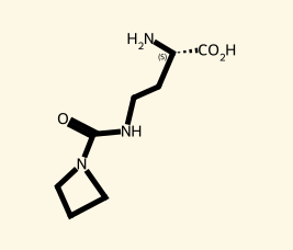 N[C@@H](CCNC(=O)N1CCC1)C(=O)O